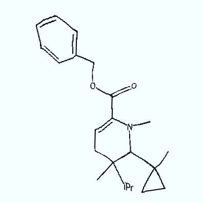 CC(C)C1(C)CC=C(C(=O)OCc2ccccc2)N(C)C1C1(C)CC1